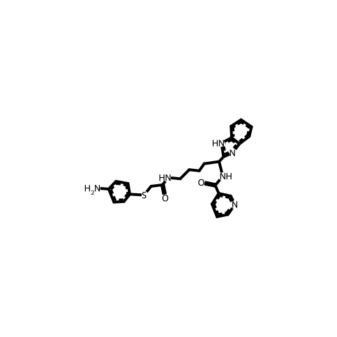 Nc1ccc(SCC(=O)NCCCCC(NC(=O)c2cccnc2)c2nc3ccccc3[nH]2)cc1